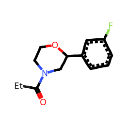 CCC(=O)N1CCOC(c2cccc(F)c2)C1